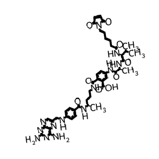 CC(C)[C@H](NC(=O)CCCCCN1C(=O)C=CC1=O)C(=O)N[C@@H](C)C(=O)Nc1ccc(C(=O)NCCC[C@@H](C)NC(=O)c2ccc(NCc3cnc4nc(N)nc(N)c4n3)cc2)c(C(=O)O)c1